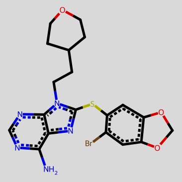 Nc1ncnc2c1nc(Sc1cc3c(cc1Br)OCO3)n2CCC1CCOCC1